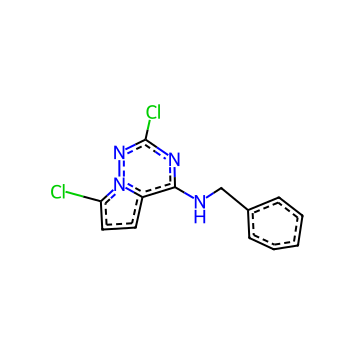 Clc1nc(NCc2ccccc2)c2ccc(Cl)n2n1